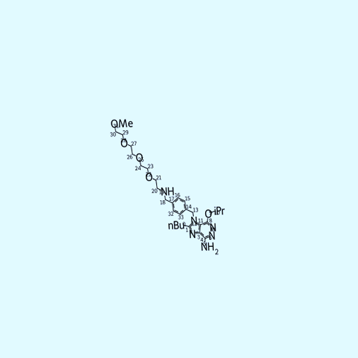 CCCCc1nc2c(N)nnc(OC(C)C)c2n1Cc1ccc(CNCCOCCOCCOCCOC)cc1